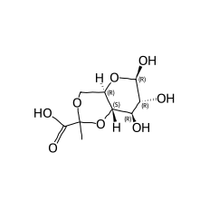 CC1(C(=O)O)OC[C@H]2O[C@@H](O)[C@H](O)[C@@H](O)[C@@H]2O1